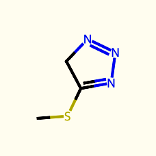 CSC1=NN=NC1